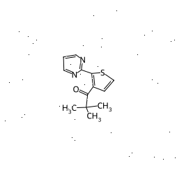 CC(C)(C)C(=O)c1ccsc1-c1ncccn1